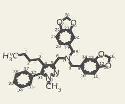 CCCCc1c(CN(Cc2ccc3c(c2)OCO3)Cc2ccc3c(c2)OCO3)nn(C)c1-c1ccccc1